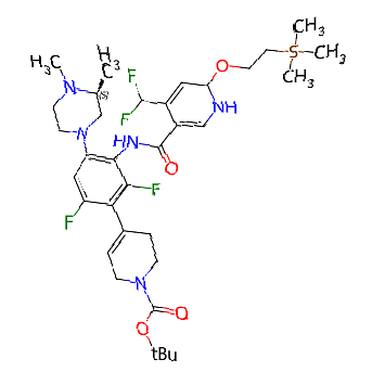 C[C@H]1CN(c2cc(F)c(C3=CCN(C(=O)OC(C)(C)C)CC3)c(F)c2NC(=O)C2=CNC(OCCS(C)(C)C)C=C2C(F)F)CCN1C